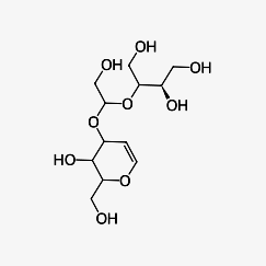 OCC(OC1C=COC(CO)C1O)OC(CO)[C@H](O)CO